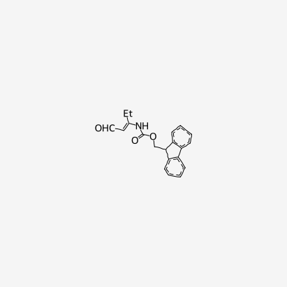 CCC(=CC=O)NC(=O)OCC1c2ccccc2-c2ccccc21